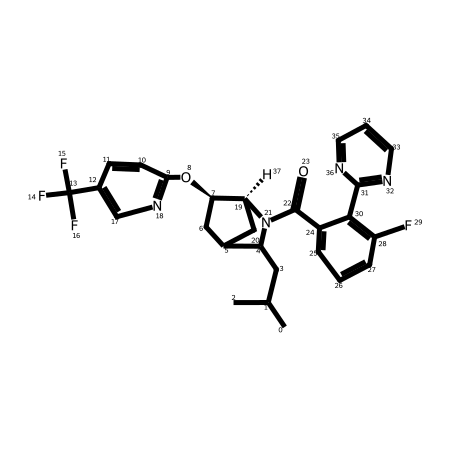 CC(C)CC1C2C[C@@H](Oc3ccc(C(F)(F)F)cn3)[C@H](C2)N1C(=O)c1cccc(F)c1-c1ncccn1